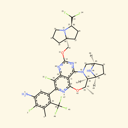 Cc1c(F)c(N)cc(-c2nc3c4c(nc(OC[C@]56CCCN5[C@@H](C(F)F)CC6)nc4c2F)N2C[C@H]4CC[C@H](N4)[C@H]2[C@H](C)O3)c1C(F)(F)F